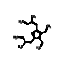 C=C/C(C)=C\c1sc(/C=C(/C)C=C)c(C=C)c1C=C